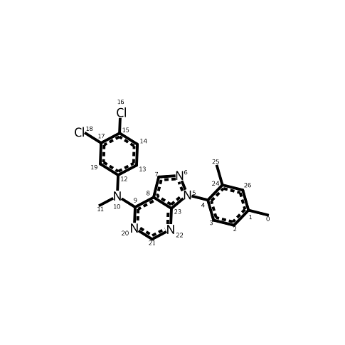 Cc1ccc(-n2ncc3c(N(C)c4ccc(Cl)c(Cl)c4)ncnc32)c(C)c1